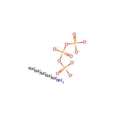 N.O=P([O-])([O-])OP(=O)([O-])OP(=O)([O-])[O-].[Na+].[Na+].[Na+].[Na+].[Na+]